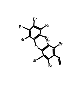 C=Cc1c(Br)c(Br)c(Oc2c(Br)c(Br)c(Br)c(Br)c2Br)c(Br)c1Br